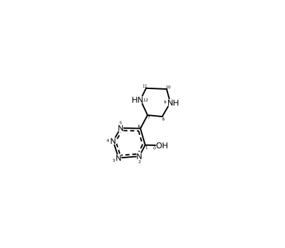 Oc1nnnnc1C1CNCCN1